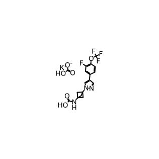 O=C(O)NC12CC(n3cc(-c4ccc(OC(F)(F)F)c(F)c4)cn3)(C1)C2.O=C([O-])O.[K+]